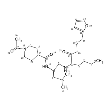 CCCCC(NCC(CC(C)C)NC(=O)C1CCN(C(C)=O)CC1)C(=O)CSCc1ccco1